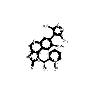 COc1cc2c(cc1-c1c(C)noc1C)ncc1[nH]c(=S)n([C@H](C)c3cccc[n+]3O)c12